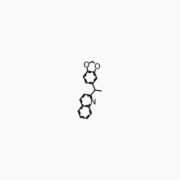 CC(c1ccc2c(c1)OCO2)c1ccc2ccccc2n1